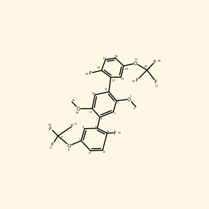 COc1cc(-c2cc(OC(F)(F)F)ccc2F)c(OC)cc1-c1cc(OC(F)(F)F)ccc1F